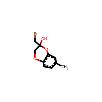 Cc1ccc2c(c1)OC(O)(CBr)CO2